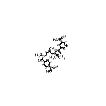 CN(CCN(C)C(=O)c1ccc(B(O)O)cn1)CC1OC(c2cncc(B(O)O)c2)=NC1(C)C